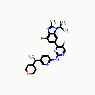 Cc1nc2c(F)cc(-c3nc(Nc4ccc([C@H](C)C5CCOCC5)cn4)ncc3F)cc2n1C(C)C